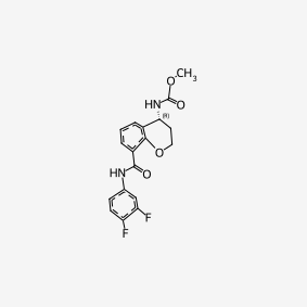 COC(=O)N[C@@H]1CCOc2c(C(=O)Nc3ccc(F)c(F)c3)cccc21